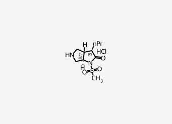 CCC[C@H]1C(=O)N(S(C)(=O)=O)[C@H]2CNC[C@H]12.Cl